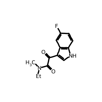 CCN(C)C(=O)C(=O)c1c[nH]c2ccc(F)cc12